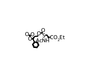 CCOC(=O)[C@H](CSC(=O)OCc1oc(=O)oc1-c1ccccc1)NC(C)=O